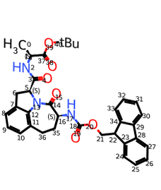 C[C@H](NC(=O)[C@@H]1Cc2cccc3c2N1C(=O)[C@@H](NC(=O)OCC1c2ccccc2-c2ccccc21)CC3)C(=O)OC(C)(C)C